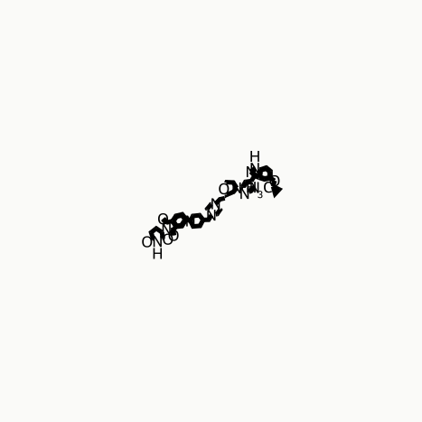 CC1(Oc2ccc3[nH]nc(-c4cc(N5CCO[C@@H](CCN6CCN(CC7CCN(c8ccc9c(c8)C(=O)N(C8CCC(=O)NC8=O)C9=O)CC7)CC6)C5)ncn4)c3c2)CC1